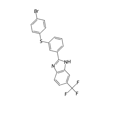 FC(F)(F)c1ccc2nc(-c3cccc(Sc4ccc(Br)cc4)c3)[nH]c2c1